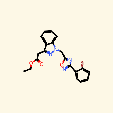 CCOC(=O)Cc1nn(Cc2nc(-c3ccccc3Br)no2)c2ccccc12